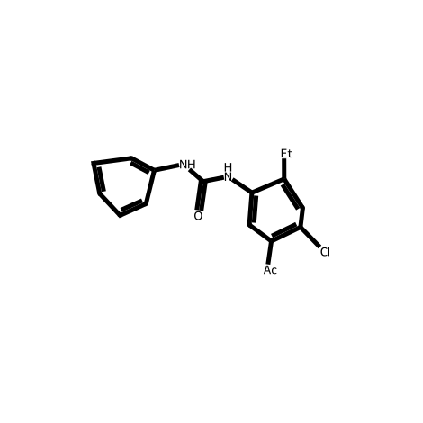 CCc1cc(Cl)c(C(C)=O)cc1NC(=O)Nc1ccccc1